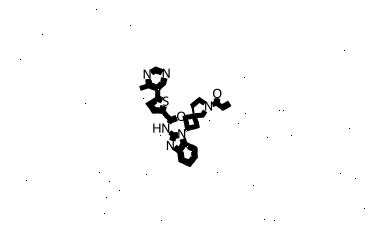 C=CC(=O)N1CC[C@]2(C1)C[C@H](n1c(NC(=O)c3ccc(-c4cncnc4C)s3)nc3ccccc31)C2